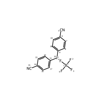 F[B-](F)(F)F.N#Cc1ccc([I+]c2ccc(C#N)cc2)cc1